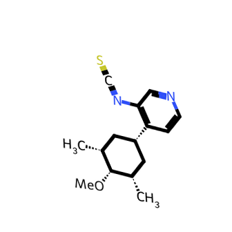 CO[C@@H]1[C@H](C)C[C@H](c2ccncc2N=C=S)C[C@@H]1C